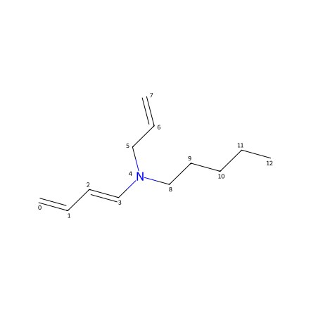 C=C/C=C/N(CC=C)CCCCC